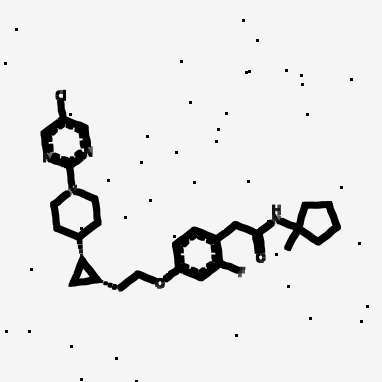 CC1(NC(=O)Cc2ccc(OCC[C@@H]3C[C@@H]3C3CCN(c4ncc(Cl)cn4)CC3)cc2F)CCCC1